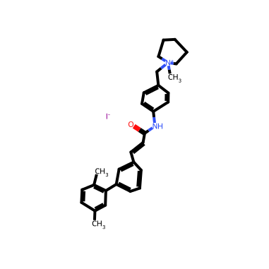 Cc1ccc(C)c(-c2cccc(/C=C/C(=O)Nc3ccc(C[N+]4(C)CCCCC4)cc3)c2)c1.[I-]